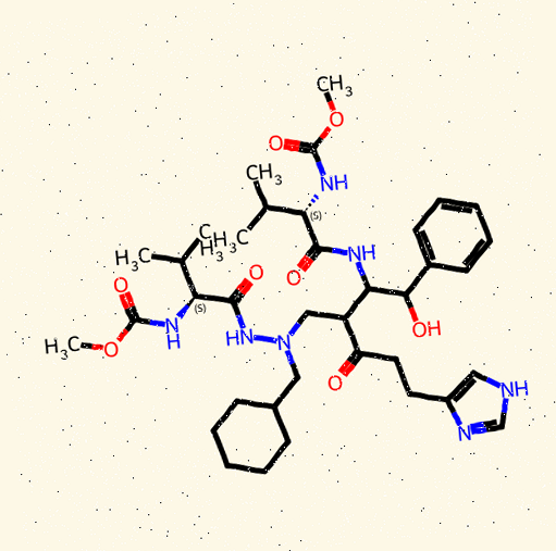 COC(=O)N[C@H](C(=O)NC(C(CN(CC1CCCCC1)NC(=O)[C@@H](NC(=O)OC)C(C)C)C(=O)CCc1c[nH]cn1)C(O)c1ccccc1)C(C)C